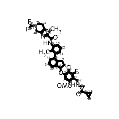 COc1cc(OC2CCc3c(-c4cccc(NC(=O)c5nc6c(n5C)CCN(C(F)F)C6)c4C)cccc32)c(Cl)c(F)c1CNOC(=O)C1CC1